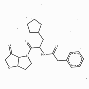 O=C(Cc1ccccc1)NC(CC1CCCC1)C(=O)N1CCC2OCC(=O)C21